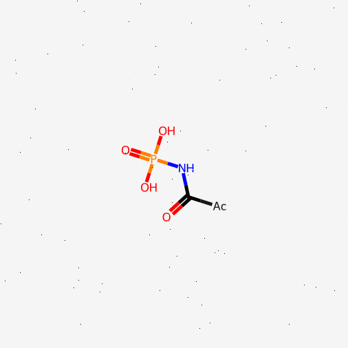 CC(=O)C(=O)NP(=O)(O)O